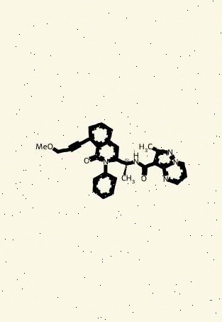 COCC#Cc1cccc2cc([C@H](C)NC(=O)c3c(C)nn4cccnc34)n(-c3ccccc3)c(=O)c12